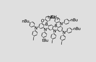 CCCCc1ccc(N(c2ccc(I)cc2)c2cc3c4c(c2)N(c2ccc(C(C)(C)C)cc2)c2cc5c(cc2B4c2cc(C)ccc2O3)B2c3cc(CCCC)ccc3N(c3ccc(CCCC)cc3)c3cc(N(c4ccc(I)cc4)c4ccc(CCCC)cc4)cc(c32)N5c2ccc(I)cc2)cc1